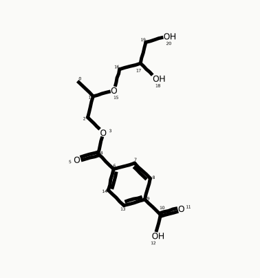 CC(COC(=O)c1ccc(C(=O)O)cc1)OCC(O)CO